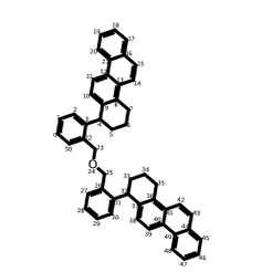 c1ccc(C2CCCc3c2ccc2c3ccc3ccccc32)c(COCc2ccccc2C2CCCc3c2ccc2c3ccc3ccccc32)c1